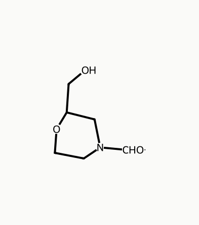 O=[C]N1CCOC(CO)C1